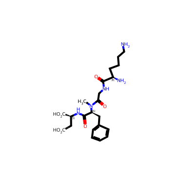 CN(C(=O)CNC(=O)[C@H](N)CCCCN)[C@@H](Cc1ccccc1)C(=O)N[C@@H](CC(=O)O)C(=O)O